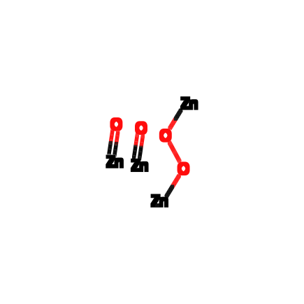 [O]=[Zn].[O]=[Zn].[Zn][O][O][Zn]